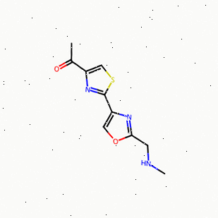 CNCc1nc(-c2nc(C(C)=O)cs2)co1